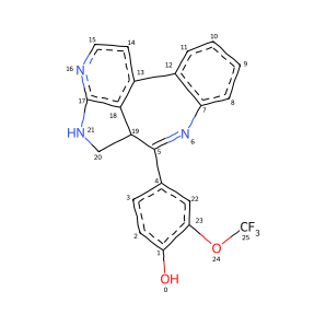 Oc1ccc(C2=Nc3ccccc3-c3ccnc4c3C2CN4)cc1OC(F)(F)F